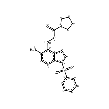 Nc1cnc2c(ccn2S(=O)(=O)c2ccccc2)c1NOC(=O)N1CCCC1